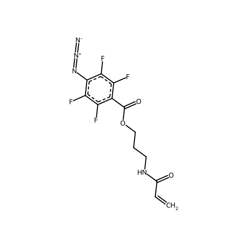 C=CC(=O)NCCCOC(=O)c1c(F)c(F)c(N=[N+]=[N-])c(F)c1F